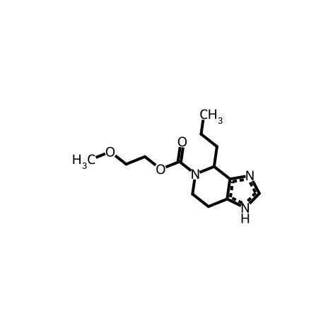 CCCC1c2nc[nH]c2CCN1C(=O)OCCOC